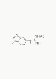 CC(=O)NC(=N)C(C)(C)c1ccc2c(C)cnn2c1